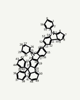 c1ccc(-n2c3ccccc3c3cc(-c4ccc5c6cc7c(cc6n(-c6ccccc6)c5c4)C(c4ccccc4)(c4ccccc4)c4ccccc4-7)ccc32)cc1